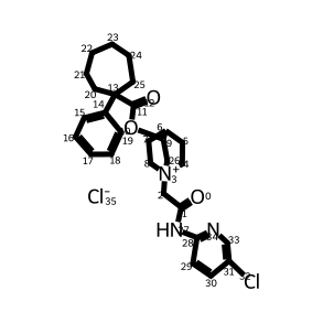 O=C(C[N+]12CCC(CC1)C(OC(=O)C1(c3ccccc3)CCCCCC1)C2)Nc1ccc(Cl)cn1.[Cl-]